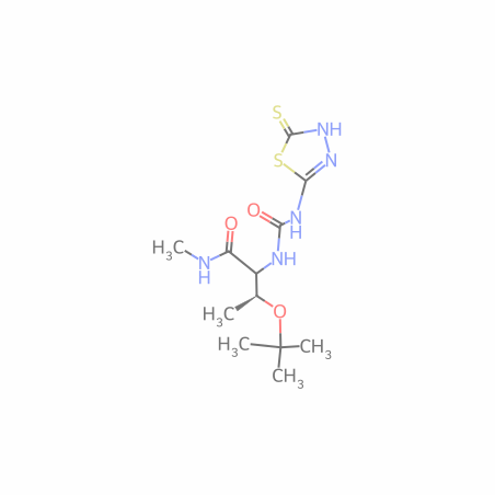 CNC(=O)C(NC(=O)Nc1n[nH]c(=S)s1)[C@H](C)OC(C)(C)C